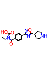 CCN(C(=O)O)C(=O)c1ccc(-c2noc(C3CCNCC3)n2)cc1